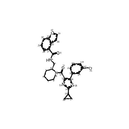 O=C(NC[C@@H]1CCCCN1C(=O)c1nc(C2CC2)sc1-c1cccc(Cl)c1)c1cccc2occc12